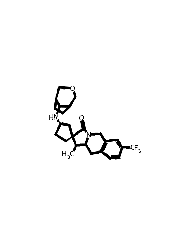 CC1C2Cc3ccc(C(F)(F)F)cc3CN2C(=O)[C@]12CC[C@@H](NC1C3CCC1COC3)C2